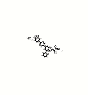 CCN(C(N)=O)c1nc2cc(-c3cnc(N4CCC(O)(C(=O)O)CC4)nc3)cc(-c3ccccn3)c2s1